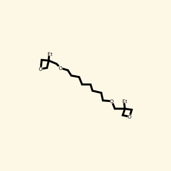 CCC1(COCCCCCCCCOCC2(CC)COC2)COC1